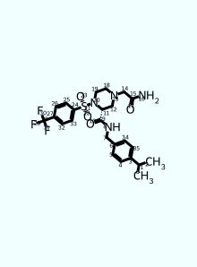 CC(C)c1ccc(CNC(=O)[C@H]2CN(CC(N)=O)CCN2S(=O)(=O)c2ccc(C(F)(F)F)cc2)cc1